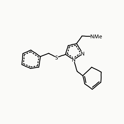 CNCc1cc(SCc2ccccc2)n(CC2=CC=CCC2)n1